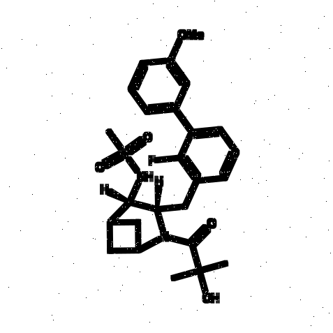 COc1cccc(-c2cccc(C[C@H]3[C@@H](NS(C)(=O)=O)C4CC(C4)N3C(=O)C(C)(C)O)c2F)c1